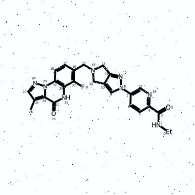 CCNC(=O)c1ccc(-n2cc3c(n2)CN(Cc2ccc4c([nH]c(=O)c5c(C)cnn54)c2F)C3)cn1